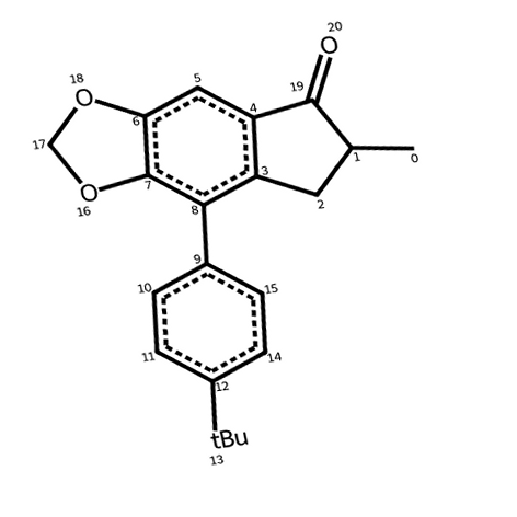 CC1Cc2c(cc3c(c2-c2ccc(C(C)(C)C)cc2)OCO3)C1=O